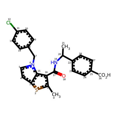 Cc1sc2ccn(Cc3ccc(Cl)cc3)c2c1C(=O)NC(C)c1ccc(C(=O)O)cc1